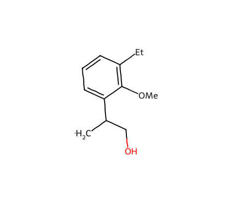 [CH2]C(CO)c1cccc(CC)c1OC